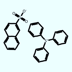 O=S(=O)([O-])c1ccc2ccccc2c1.c1ccc([S+](c2ccccc2)c2ccccc2)cc1